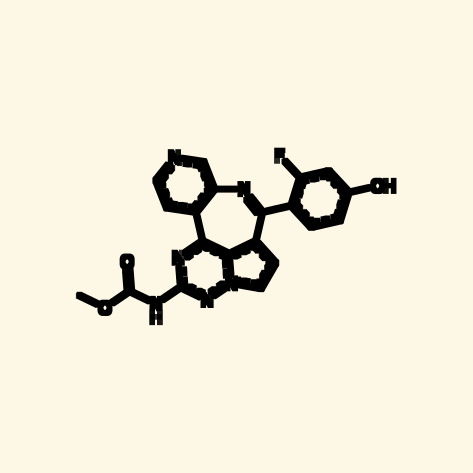 COC(=O)Nc1nc2c3c(ccn3n1)C(c1ccc(O)cc1F)=Nc1cnccc1-2